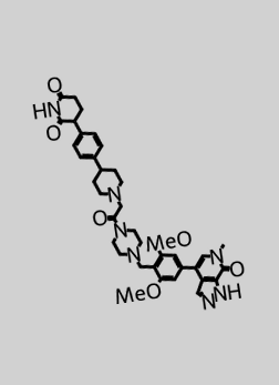 COc1cc(-c2cn(C)c(=O)c3[nH]ncc23)cc(OC)c1CN1CCN(C(=O)CN2CCC(c3ccc(C4CCC(=O)NC4=O)cc3)CC2)CC1